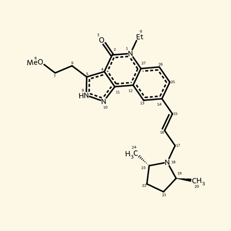 CCn1c(=O)c2c(CCOC)[nH]nc2c2cc(C=CCN3[C@@H](C)CC[C@@H]3C)ccc21